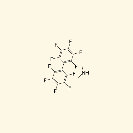 CNC.Fc1c(F)c(F)c(-c2c(F)c(F)c(F)c(F)c2F)c(F)c1F